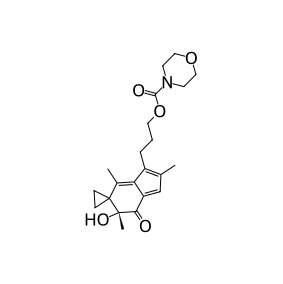 CC1=C(CCCOC(=O)N2CCOCC2)C2=C(C)C3(CC3)[C@@](C)(O)C(=O)C2=C1